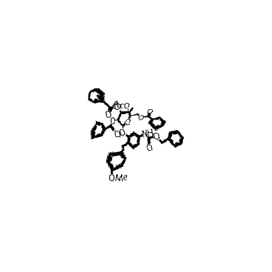 COc1ccc(Cc2ccc(NC(=O)OCc3ccccc3)cc2O[C@H]2O[C@H](COC(=O)c3ccccc3)[C@@](C)(OC(C)=O)[C@H](OC(=O)c3ccccc3)[C@H]2OC(=O)c2ccccc2)cc1